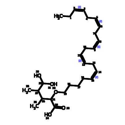 CC/C=C\C/C=C\C/C=C\C/C=C\C/C=C\CCCCOC(C(=O)O)C(C)C(C)C(O)O